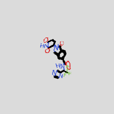 O=C1CCC(N2Cc3cc(C(=O)N[C@H](c4cnccn4)C(F)(F)F)ccc3C2=O)C(=O)N1